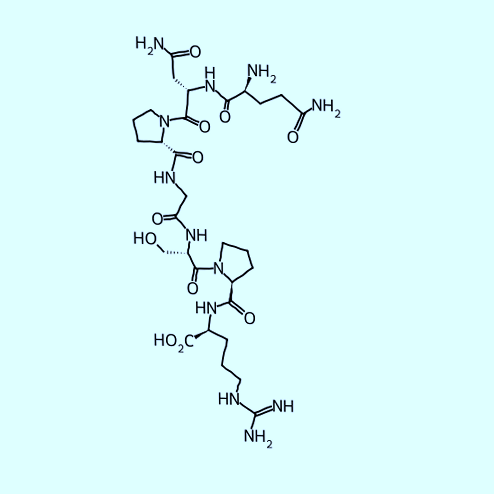 N=C(N)NCCC[C@H](NC(=O)[C@@H]1CCCN1C(=O)[C@H](CO)NC(=O)CNC(=O)[C@@H]1CCCN1C(=O)[C@H](CC(N)=O)NC(=O)[C@@H](N)CCC(N)=O)C(=O)O